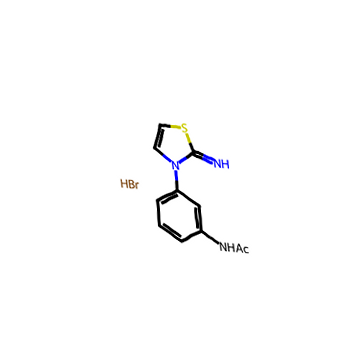 Br.CC(=O)Nc1cccc(-n2ccsc2=N)c1